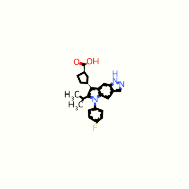 CC(C)c1c([C@@H]2CC[C@@H](C(=O)O)C2)c2cc3[nH]ncc3cc2n1-c1ccc(F)cc1